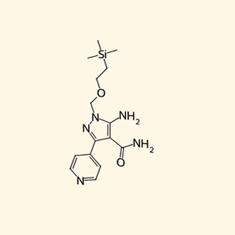 C[Si](C)(C)CCOCn1nc(-c2ccncc2)c(C(N)=O)c1N